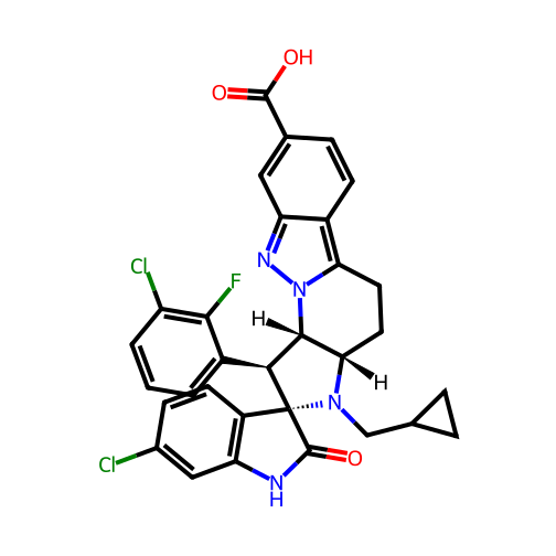 O=C(O)c1ccc2c3n(nc2c1)[C@@H]1[C@H](CC3)N(CC2CC2)[C@@]2(C(=O)Nc3cc(Cl)ccc32)[C@H]1c1cccc(Cl)c1F